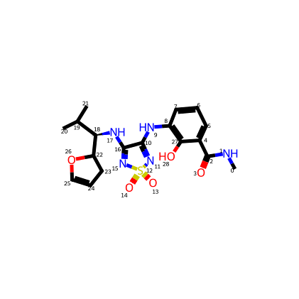 CNC(=O)c1cccc(NC2=NS(=O)(=O)N=C2N[C@H](C(C)C)C2CC=CO2)c1O